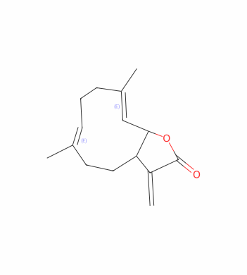 C=C1C(=O)OC2/C=C(\C)CC/C=C(\C)CCC12